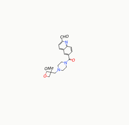 COC1(CN2CCN(C(=O)c3ccc4nc(C=O)ccc4c3)CC2)COC1